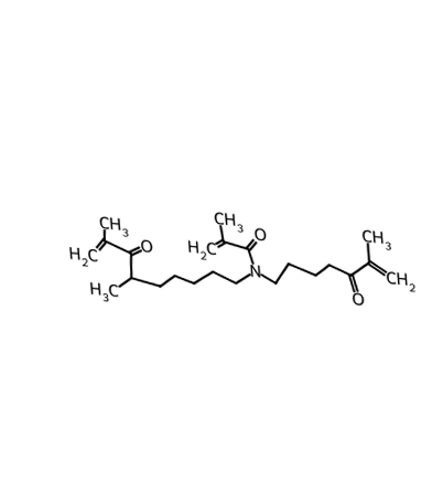 C=C(C)C(=O)CCCCN(CCCCCC(C)C(=O)C(=C)C)C(=O)C(=C)C